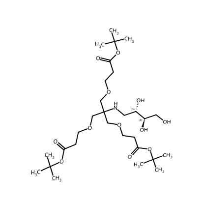 CC(C)(C)OC(=O)CCOCC(COCCC(=O)OC(C)(C)C)(COCCC(=O)OC(C)(C)C)NC[C@H](O)[C@H](O)CO